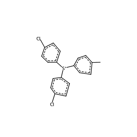 Cc1ccc([S+](c2ccc(Cl)cc2)c2ccc(Cl)cc2)cc1